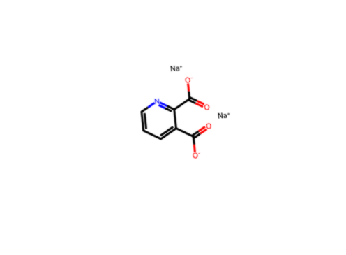 O=C([O-])c1cccnc1C(=O)[O-].[Na+].[Na+]